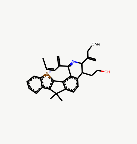 C=C(/C=C\C)C1=NC(C(=C)COC)C(CCO)c2ccc3c(c21)-c1sc2ccccc2c1C3(C)C